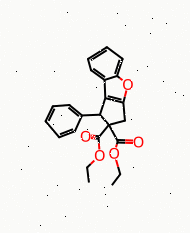 CCOC(=O)C1(C(=O)OCC)Cc2oc3ccccc3c2C1c1ccccc1